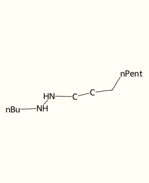 CCCCCCCCNNCCCC